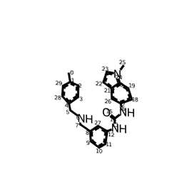 Cc1ccc(CNCc2cccc(NC(=O)Nc3ccc4c(ccn4C)c3)c2)cc1